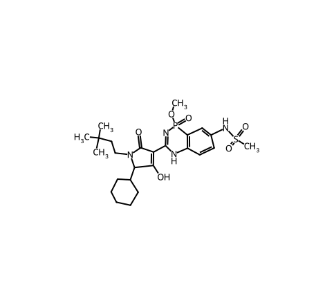 COP1(=O)N=C(C2=C(O)C(C3CCCCC3)N(CCC(C)(C)C)C2=O)Nc2ccc(NS(C)(=O)=O)cc21